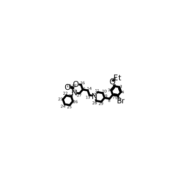 CCOc1ccc(Br)c(CC2CCN(CCC3COC(=O)N(C4CCCCC4)C3)CC2)c1